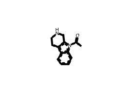 CC(=O)n1c2c(c3ccccc31)CCNC2